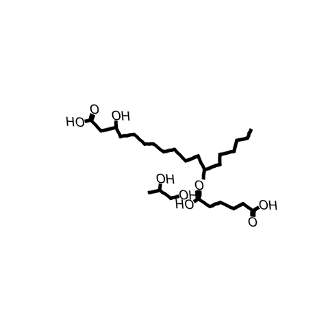 CC(O)CO.CCCCCCC(C)CCCCCCCCC(O)CC(=O)O.O=C(O)CCCCC(=O)O